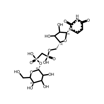 O=c1ccn([C@@H]2O[C@H](COP(=O)(O)CP(=O)(O)O[C@H]3OC(CO)[C@H](O)C(O)C3O)C(O)C2O)c(=O)[nH]1